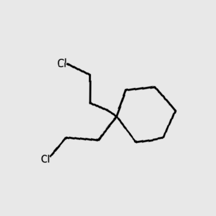 ClCCC1(CCCl)CCCCC1